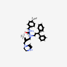 C=C(CN1CCNCC1)CN(CCC(c1ccccc1)c1ccccc1)C(=O)NCC1C=CC(OC)=CC1